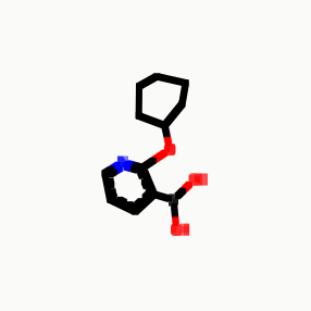 OB(O)c1cccnc1OC1CCCCC1